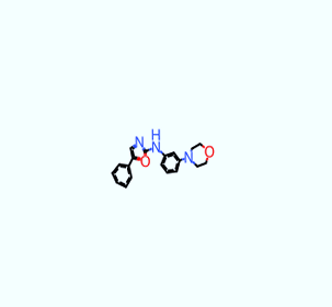 c1ccc(-c2cnc(Nc3cccc(N4CCOCC4)c3)o2)cc1